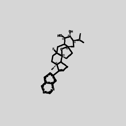 CN(C)[C@H]1C[C@@]23CC[C@]4(O2)C2CC=C(c5ccc6cncnc6c5)[C@@]2(C)CCC4(F)CC3[C@@H](O)[C@@H]1O